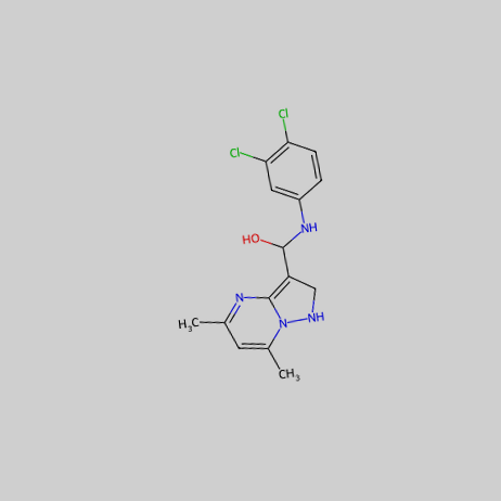 CC1=CC(C)=NC2=C(C(O)Nc3ccc(Cl)c(Cl)c3)CNN12